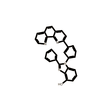 Oc1cccc2c1nc(-c1ccccc1)n2-c1cccc(-c2ccc3ccc4cccnc4c3n2)c1